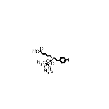 CC(C)(C)OC(=O)N(CCC=CC(=O)O)CCc1ccc(I)cc1